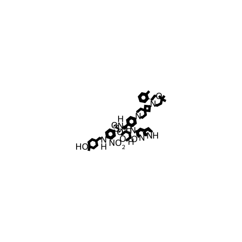 Cc1ccccc1[C@@H]1COC(C)(C)CCN1C1CC2(CCN(c3ccc(C(=O)NS(=O)(=O)c4ccc(NCC5CCC(C)(O)CC5)c([N+](=O)[O-])c4)c(N4c5cc6cc[nH]c6nc5O[C@H]5COCC[C@@H]54)c3)CC2)C1